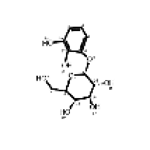 OC[C@H]1O[C@@H](Oc2cccc(O)c2O)[C@H](O)[C@@H](O)[C@H]1O